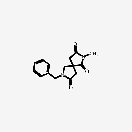 CN1C(=O)CC2(CC(=O)N(Cc3ccccc3)C2)C1=O